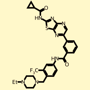 CCN1CCN(Cc2ccc(NC(=O)c3cccc(-c4cnc5nc(NC(=O)C6CC6)sc5n4)c3)cc2C(F)(F)F)CC1